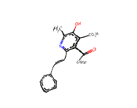 COC(=O)c1c(C=Cc2ccccc2)nc(C)c(O)c1C(=O)O